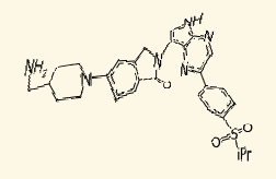 CC(C)S(=O)(=O)c1ccc(-c2cnc3[nH]cc(N4Cc5cc(N6CCC(CN)CC6)ccc5C4=O)c3n2)cc1